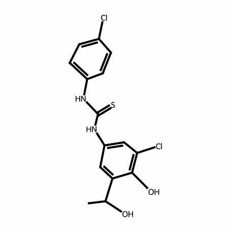 CC(O)c1cc(NC(=S)Nc2ccc(Cl)cc2)cc(Cl)c1O